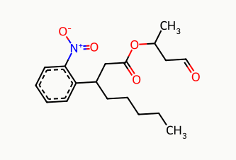 CCCCCC(CC(=O)OC(C)CC=O)c1ccccc1[N+](=O)[O-]